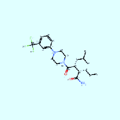 CCC[C@H](C(N)=O)[C@@H](CC(C)C)C(=O)N1CCN(c2cccc(C(F)(F)F)c2)CC1